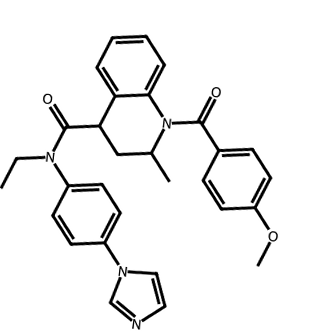 CCN(C(=O)C1CC(C)N(C(=O)c2ccc(OC)cc2)c2ccccc21)c1ccc(-n2ccnc2)cc1